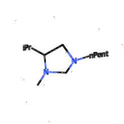 CCCCCN1CC(C(C)C)N(C)C1